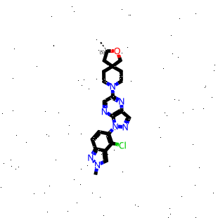 C[C@H]1CC2(CCN(c3cnc4c(cnn4-c4ccc5nn(C)cc5c4Cl)n3)CC2)CO1